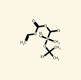 C=COC(=O)OC(CC)[Si](C)(C)OC(C)(C)CC